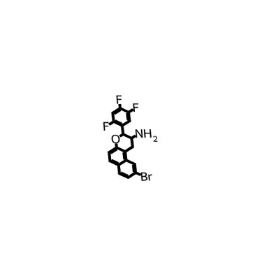 NC1Cc2c(ccc3ccc(Br)cc23)OC1c1cc(F)c(F)cc1F